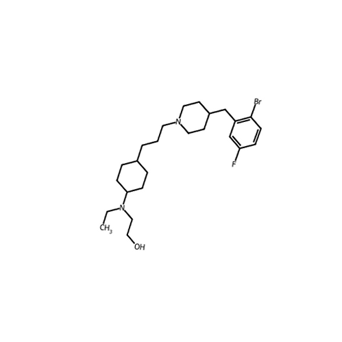 CCN(CCO)C1CCC(CCCN2CCC(Cc3cc(F)ccc3Br)CC2)CC1